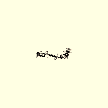 CCc1c(SC)[nH]c2c(CN3CCC(CNC(=O)CCCCCNC(=O)C4CCC(CN5C(=O)C=CC5=O)CC4)C3)c(O)ccc12